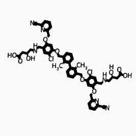 Cc1c(COc2cc(OCc3cccc(C#N)n3)c(CNC[C@@H](O)CC(=O)O)cc2Cl)cccc1-c1cccc(COc2cc(OCc3cccc(C#N)n3)c(CNC[C@@H](O)CC(=O)O)cc2Cl)c1C